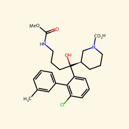 COC(=O)NCCCC(O)(c1cccc(Cl)c1-c1cccc(C)c1)[C@@H]1CCCN(C(=O)O)C1